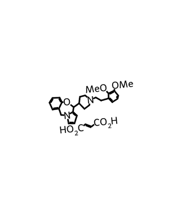 COc1cccc(CCN2CCC(C3Oc4ccccc4Cn4cccc43)CC2)c1OC.O=C(O)C=CC(=O)O